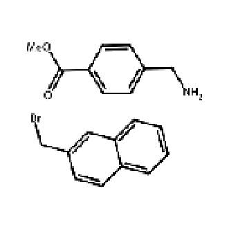 BrCc1ccc2ccccc2c1.COC(=O)c1ccc(CN)cc1